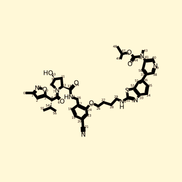 Cc1cc([C@H](C(=O)N2C[C@H](O)C[C@H]2C(=O)NCc2ccc(C#N)cc2OCCCCNc2nc3ccc(-c4cncc(N(C)C(=O)OC(C)C)c4)cc3s2)C(C)C)on1